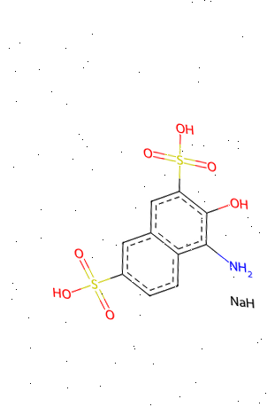 Nc1c(O)c(S(=O)(=O)O)cc2cc(S(=O)(=O)O)ccc12.[NaH]